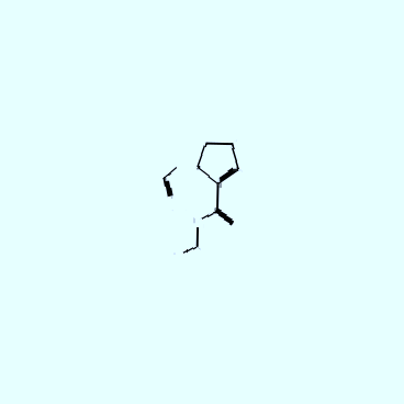 C=CCl.O=C(NCO)C1=CCCC1